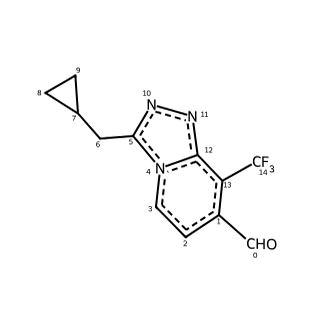 O=Cc1ccn2c(CC3CC3)nnc2c1C(F)(F)F